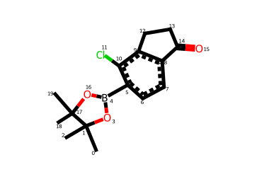 CC1(C)OB(c2ccc3c(c2Cl)CCC3=O)OC1(C)C